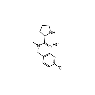 CN(Cc1ccc(Cl)cc1)C(=O)C1CCCN1.Cl